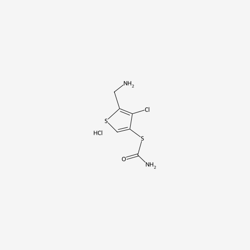 Cl.NCc1scc(SC(N)=O)c1Cl